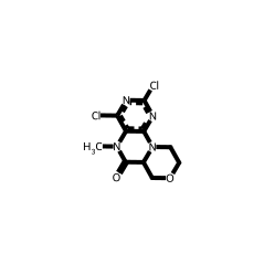 CN1C(=O)C2COCCN2c2nc(Cl)nc(Cl)c21